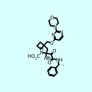 CCCCC(CC1(COc2ccnc(N3CCOCC3)n2)CCC1)(NC(=O)O)C(=O)C(=O)N[C@H](C)c1ccccc1